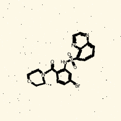 C[C@@H]1COCCN1C(=O)c1ccc(Br)cc1NS(=O)(=O)c1cccc2nccnc12